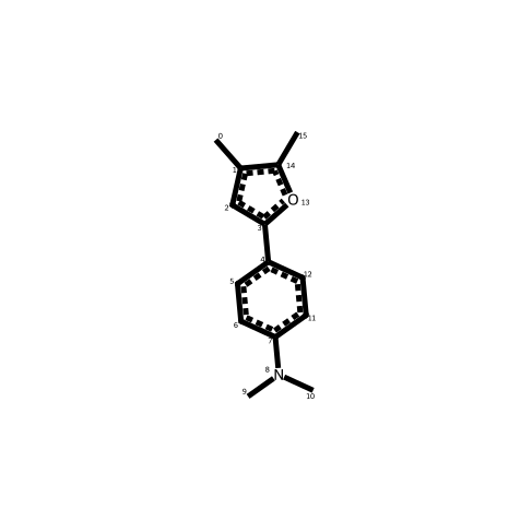 Cc1cc(-c2ccc(N(C)C)cc2)oc1C